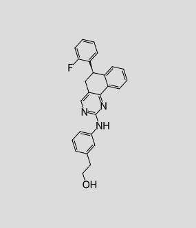 OCCc1cccc(Nc2ncc3c(n2)-c2ccccc2[C@H](c2ccccc2F)C3)c1